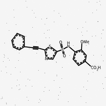 COc1cc(C(=O)O)ccc1NS(=O)(=O)c1cnc(C#Cc2ccccc2)s1